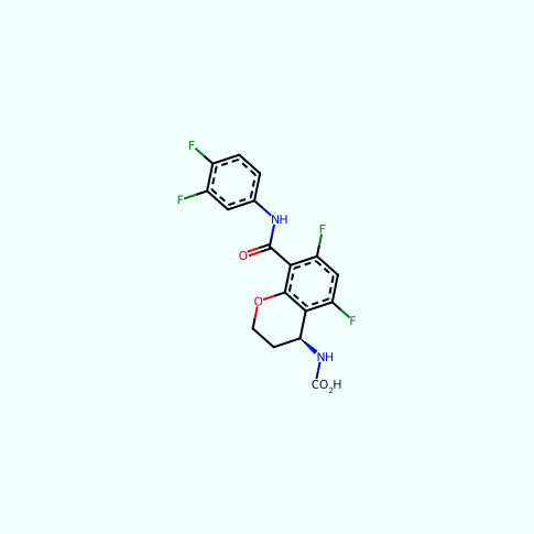 O=C(O)N[C@H]1CCOc2c(C(=O)Nc3ccc(F)c(F)c3)c(F)cc(F)c21